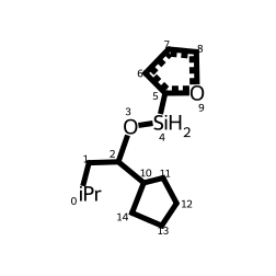 CC(C)CC(O[SiH2]c1ccco1)C1CCCC1